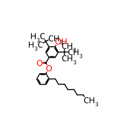 CCCCCCCCc1ccccc1OC(=O)c1cc(C(C)(C)C)c(O)c(C(C)(C)C)c1